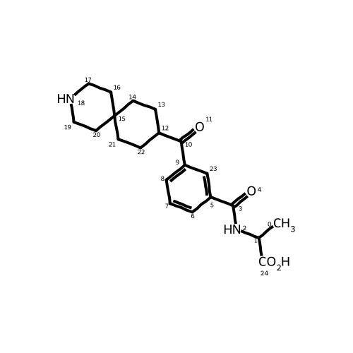 CC(NC(=O)c1cccc(C(=O)C2CCC3(CCNCC3)CC2)c1)C(=O)O